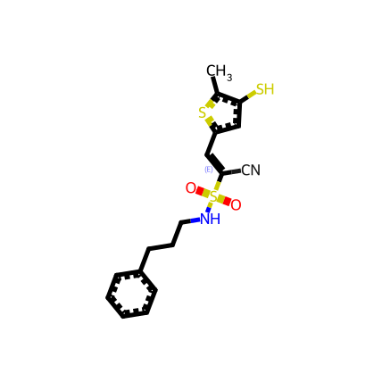 Cc1sc(/C=C(\C#N)S(=O)(=O)NCCCc2ccccc2)cc1S